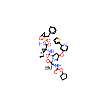 C=C[C@@H]1C[C@]1(NC(=O)[C@@H]1C[C@@H](Oc2ccnc(-c3cccs3)c2)CN1C(=O)[C@@H](NC(=O)OC1CCCC1)C(C)(C)C)C(=O)NS(=O)(=O)C1(Cc2ccccc2)CC1